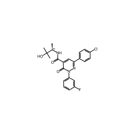 C[C@@H](NC(=O)c1cc(-c2ccc(Cl)cc2)nn(-c2cccc(F)c2)c1=O)C(C)(C)O